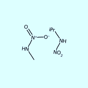 CC(C)N[N+](=O)[O-].CN[N+](=O)[O-]